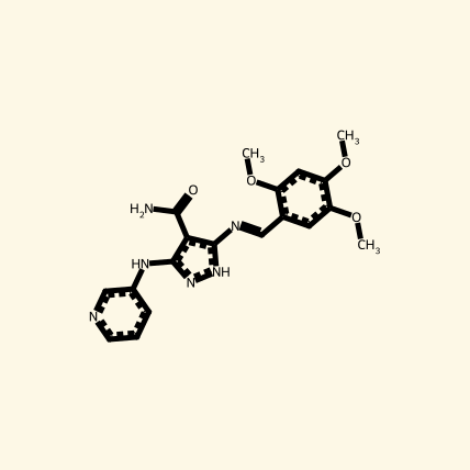 COc1cc(OC)c(OC)cc1/C=N/c1[nH]nc(Nc2cccnc2)c1C(N)=O